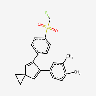 Cc1ccc(C2=CC3(C=C2c2ccc(S(=O)(=O)CF)cc2)CC3)cc1C